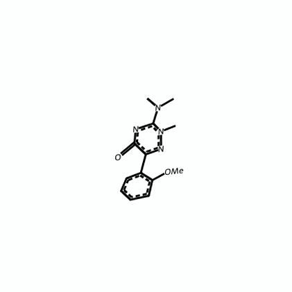 COc1ccccc1-c1nn(C)c(N(C)C)nc1=O